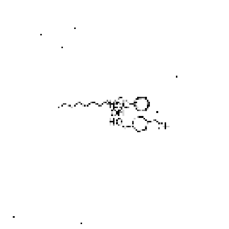 CCCCCCCCC(=O)O.O=C(O)c1ccccc1.OCC1CCC(CO)CC1